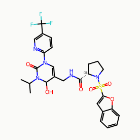 CC(C)N1C(=O)N(c2ccc(C(F)(F)F)cn2)C=C(CNC(=O)[C@@H]2CCCN2S(=O)(=O)c2cc3ccccc3o2)C1O